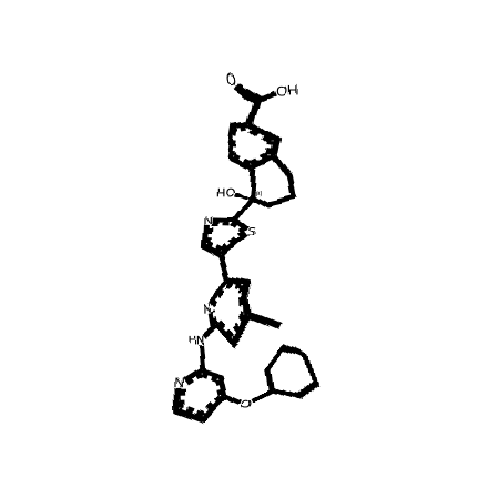 Cc1cc(Nc2cc(OC3CCCCC3)ccn2)nc(-c2cnc([C@@]3(O)CCCc4cc(C(=O)O)ccc43)s2)c1